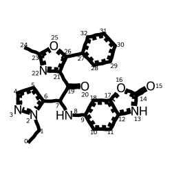 CCn1nccc1C(Nc1ccc2[nH]c(=O)oc2c1)C(=O)c1nc(C)oc1-c1ccccc1